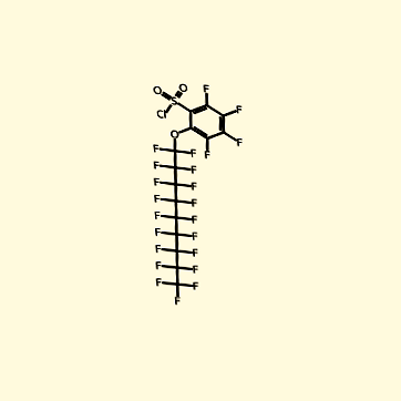 O=S(=O)(Cl)c1c(F)c(F)c(F)c(F)c1OC(F)(F)C(F)(F)C(F)(F)C(F)(F)C(F)(F)C(F)(F)C(F)(F)C(F)(F)C(F)(F)F